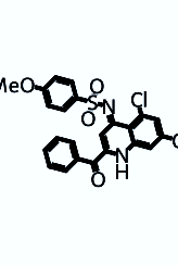 COc1ccc(S(=O)(=O)N=c2cc(C(=O)c3ccccc3)[nH]c3cc(Cl)cc(Cl)c23)cc1